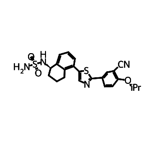 CC(C)Oc1ccc(-c2ncc(-c3cccc4c3CCC[C@H]4NS(N)(=O)=O)s2)cc1C#N